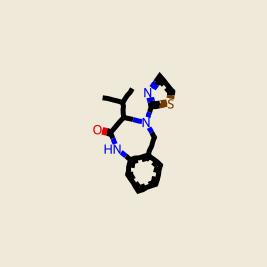 CC(C)C1C(=O)Nc2ccccc2CN1c1nccs1